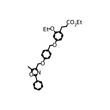 CCOC(=O)CCc1ccc(OCc2ccc(OCc3nc(-c4ccccc4)oc3C)cc2)cc1OCC